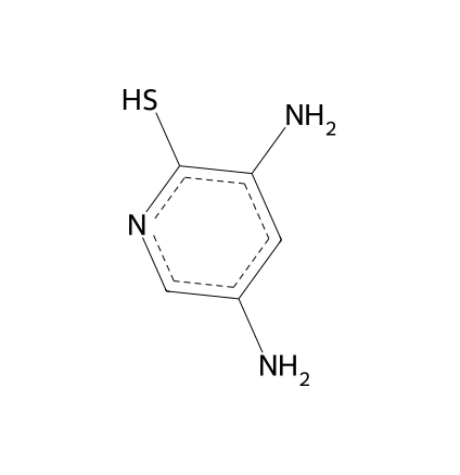 Nc1cnc(S)c(N)c1